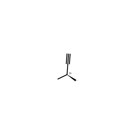 C#C[C@@H]([CH2])C